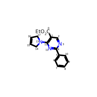 CCOC(=O)c1cnc(-c2ccccc2)nc1N1CC=CC1